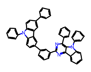 c1ccc(-c2ccc3c(c2)c2cc(-c4cccc(-c5nc(-c6ccccc6)c6c(n5)c5ccccc5n6-c5ccccc5)c4)ccc2n3-c2ccccc2)cc1